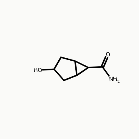 NC(=O)C1C2CC(O)CC21